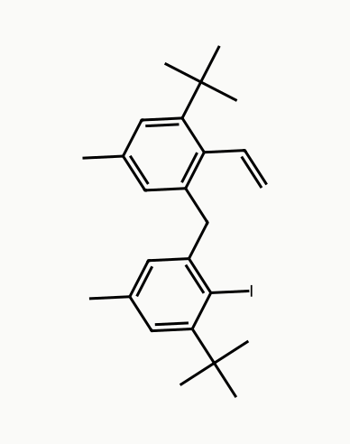 C=Cc1c(Cc2cc(C)cc(C(C)(C)C)c2I)cc(C)cc1C(C)(C)C